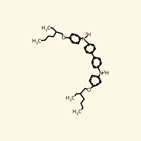 [2H]N(c1ccc(OCC(CC)CCCC)cc1)c1ccc(-c2ccc(N([2H])c3ccc(OCC(CC)CCCC)cc3)cc2)cc1